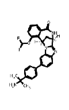 CC(C)(N)c1ccc(-c2ccc3nc4n(c3c2)[C@@H]2C[C@H]4NC(=O)c3cccc(OC(F)F)c32)cc1